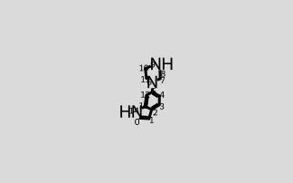 c1cc2ccc(N3CCNCC3)cc2[nH]1